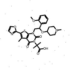 COc1ccccc1C(Cn1c(=O)n(C(C)(C)C(=O)O)c(=O)c2c(C)c(-c3ncco3)sc21)OC1CCN(C)CC1